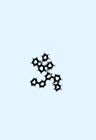 c1ccc(-c2cccc(-c3cc(-c4cccc5c4sc4ccccc45)nc(-n4c5ccccc5c5c4ccc4c6ccccc6n(-c6ccccc6)c45)c3)c2)cc1